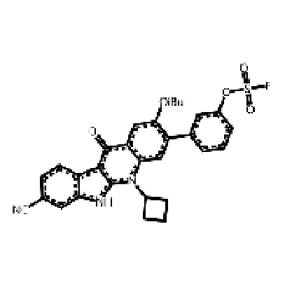 CC(C)COc1cc2c(=O)c3c4ccc(C#N)cc4[nH]c3n(C3CCC3)c2cc1-c1cccc(OS(=O)(=O)F)c1